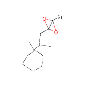 CCC12OC1(CC(C)C1(C)CCCCC1)O2